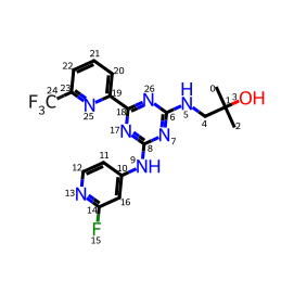 CC(C)(O)CNc1nc(Nc2ccnc(F)c2)nc(-c2cccc(C(F)(F)F)n2)n1